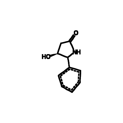 O=C1C[C@@H](O)C(c2ccccc2)N1